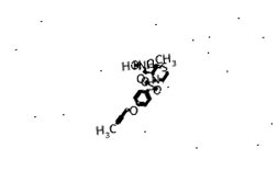 CC#CCOc1ccc(S(=O)(=O)N2[CH]CSC(C)(C)[C@@H]2C(=O)NO)cc1